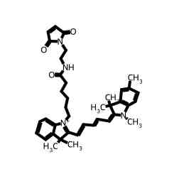 Cc1ccc2c(c1)C(C)(C)\C(=C/C=C/C=C/C1=[N+](CCCCCC(=O)NCCN3C(=O)C=CC3=O)c3ccccc3C1(C)C)N2C